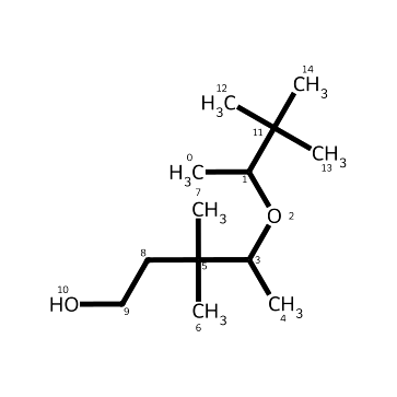 CC(OC(C)C(C)(C)CCO)C(C)(C)C